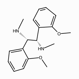 CN[C@@H](c1ccccc1OC)[C@@H](NC)c1ccccc1OC